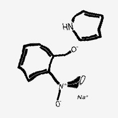 O=[N+]([O-])c1ccccc1[O-].[Na+].c1cc[nH]c1